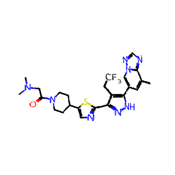 Cc1cc(-c2[nH]nc(-c3ncc(C4CCN(C(=O)CN(C)C)CC4)s3)c2CC(F)(F)F)cn2ncnc12